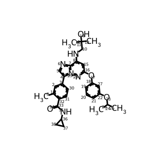 Cc1cc(-c2cnc3c(NCC(C)(C)O)cc(Oc4cccc(OC(C)C)c4)nn23)ccc1C(=O)NC1CC1